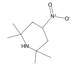 CC1(C)CC([N+](=O)[O-])CC(C)(C)N1